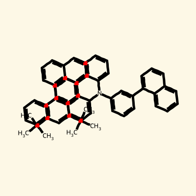 CC(C)(C)c1cc(-c2cccc3cccc(-c4ccccc4N(c4cccc(-c5cccc6ccccc56)c4)c4ccccc4-c4ccc(-c5ccccc5)cc4)c23)cc(C(C)(C)C)c1